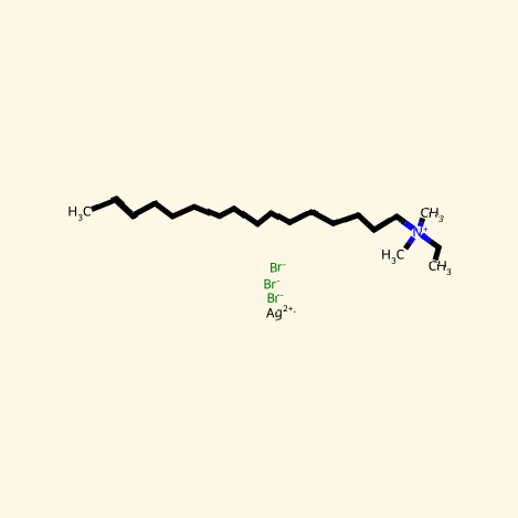 CCCCCCCCCCCCCCCC[N+](C)(C)CC.[Ag+2].[Br-].[Br-].[Br-]